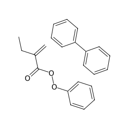 C=C(CC)C(=O)OOc1ccccc1.c1ccc(-c2ccccc2)cc1